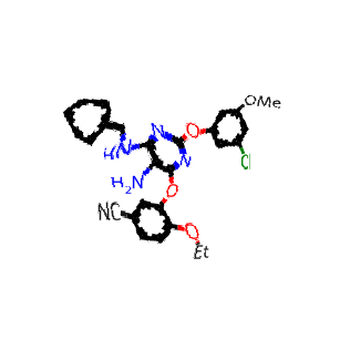 CCOc1ccc(C#N)cc1Oc1nc(Oc2cc(Cl)cc(OC)c2)nc(NCc2ccccc2)c1N